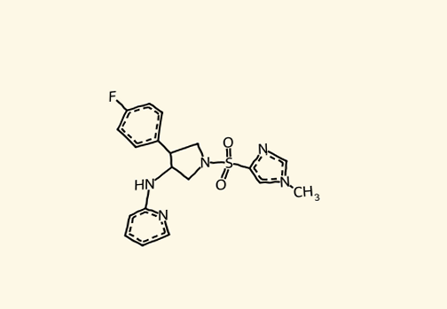 Cn1cnc(S(=O)(=O)N2CC(Nc3ccccn3)C(c3ccc(F)cc3)C2)c1